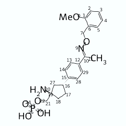 COc1ccccc1CO/N=C(\C)c1ccc([C@@H]2CC[C@](N)(COP(=O)(O)O)C2)cc1